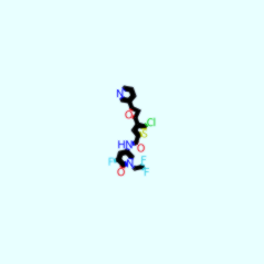 O=C(Nc1cc(F)c(=O)n(CC(F)F)c1)c1cc(C2CC(c3cccnc3)O2)c(Cl)s1